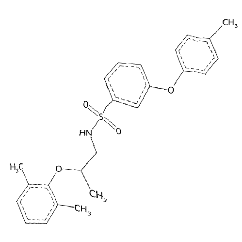 Cc1ccc(Oc2cccc(S(=O)(=O)NCC(C)Oc3c(C)cccc3C)c2)cc1